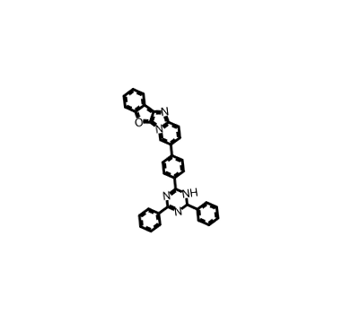 c1ccc(C2=NC(c3ccccc3)NC(c3ccc(-c4ccc5nc6c7ccccc7oc6n5c4)cc3)=N2)cc1